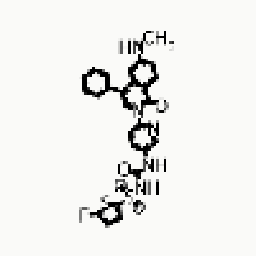 CNc1ccc2c(=O)n(-c3ccc(NC(=O)NS(=O)(=O)c4ccc(F)s4)cn3)cc(-c3ccccc3)c2c1